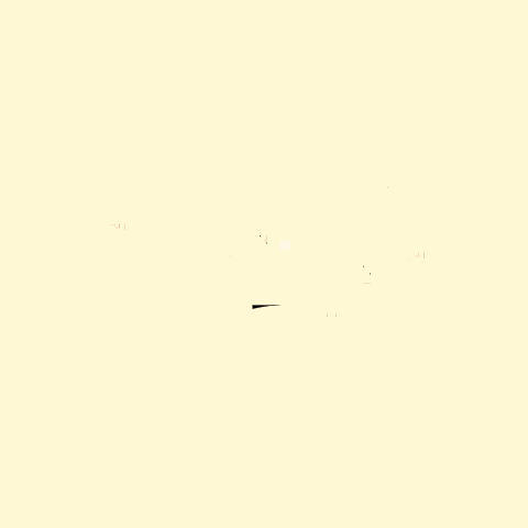 CC(C)C[C@H](NC(C)(C)C)/C(=N/OC(=O)OC(C)(C)C)[C@@]1(C)CO1